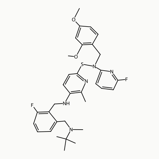 COc1ccc(CN(Sc2ccc(NCc3c(F)cccc3CN(C)C(C)(C)C)c(C)n2)c2cccc(F)n2)c(OC)c1